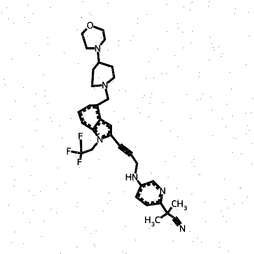 CC(C)(C#N)c1ccc(NCC#Cc2cc3c(CN4CCC(N5CCOCC5)CC4)cccc3n2CC(F)(F)F)cn1